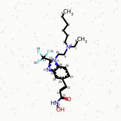 CCCCCCN(CC)CCn1c(C(F)(F)F)nc2cc(C=CC(=O)NO)ccc21